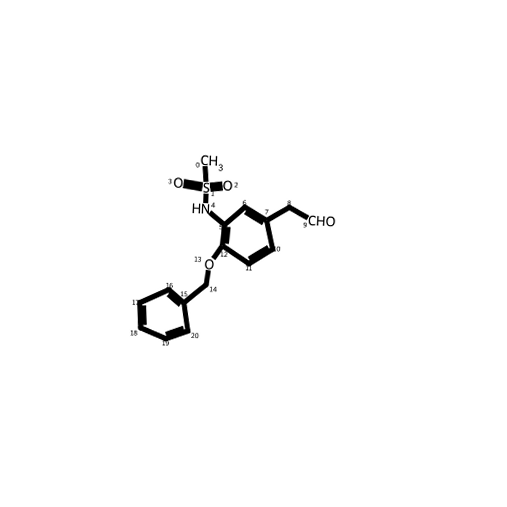 CS(=O)(=O)Nc1cc(CC=O)ccc1OCc1ccccc1